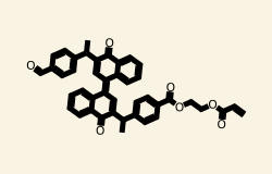 C=CC(=O)OCCOC(=O)c1ccc(C(C)C2=C/C(=C3/C=C(C(C)c4ccc(C=O)cc4)C(=O)c4ccccc43)c3ccccc3C2=O)cc1